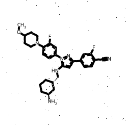 COC1CCN(c2ccc(-n3nc(-c4ccc(C#N)c(F)c4)cc3NC[C@H]3CCC[C@H](N)C3)cc2F)CC1